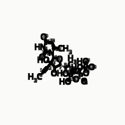 CC#CC1(O)C(O)[C@@H](C(C)OP(=O)(O)OP(=O)(O)OP(=O)(O)O)O[C@H]1n1c(C)cc(=O)[nH]c1=O